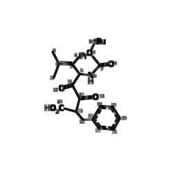 CC(C)=C(C(C)C)C(NC(=O)OC(C)(C)C)C(=O)C(=O)C(Cc1ccccc1)C(=O)O